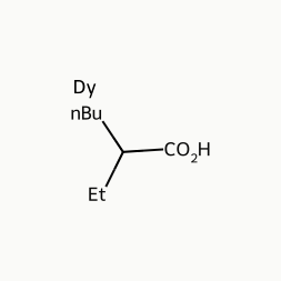 CCCCC(CC)C(=O)O.[Dy]